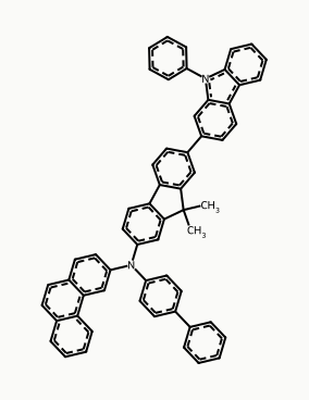 CC1(C)c2cc(-c3ccc4c5ccccc5n(-c5ccccc5)c4c3)ccc2-c2ccc(N(c3ccc(-c4ccccc4)cc3)c3ccc4ccc5ccccc5c4c3)cc21